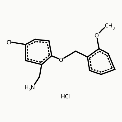 COc1ccccc1COc1ccc(Cl)cc1CN.Cl